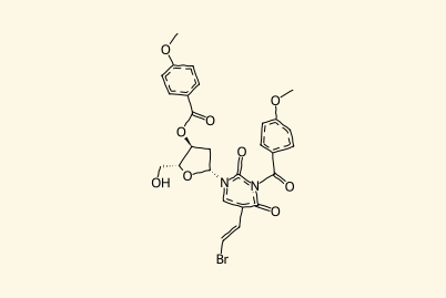 COc1ccc(C(=O)O[C@H]2C[C@H](n3cc(C=CBr)c(=O)n(C(=O)c4ccc(OC)cc4)c3=O)O[C@@H]2CO)cc1